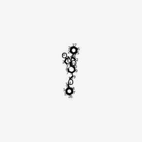 O=C1CC[C@@]2([C@H]3CC[C@H](CCOCc4ccccc4)CC3)OC[C@H](c3ccccc3)N12